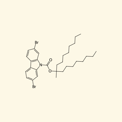 CCCCCCCCC(C)(CCCCCCCC)OC(=O)n1c2cc(Br)ccc2c2ccc(Br)cc21